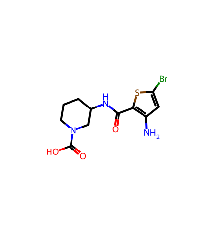 Nc1cc(Br)sc1C(=O)NC1CCCN(C(=O)O)C1